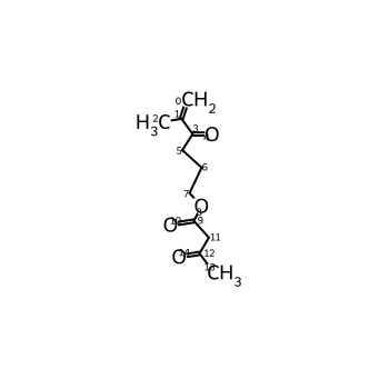 C=C(C)C(=O)CCCOC(=O)CC(C)=O